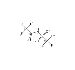 CC(F)(F)C(=O)NS(=O)(=O)C(C)(F)F